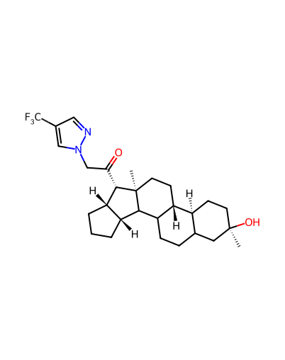 C[C@@]1(O)CC[C@H]2C(CCC3C4[C@@H]5CCC[C@@H]5[C@H](C(=O)Cn5cc(C(F)(F)F)cn5)[C@@]4(C)CC[C@@H]32)C1